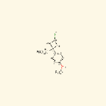 O=C(O)C1(c2ccc(OC(F)(F)F)cc2)CC(F)C1